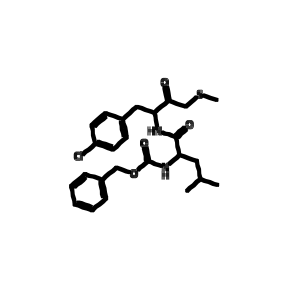 CSCC(=O)C(Cc1ccc(Cl)cc1)NC(=O)C(CC(C)C)NC(=O)OCc1ccccc1